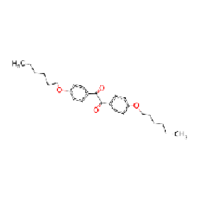 CCCCCCOc1ccc(C(=O)C(=O)c2ccc(OCCCCCC)cc2)cc1